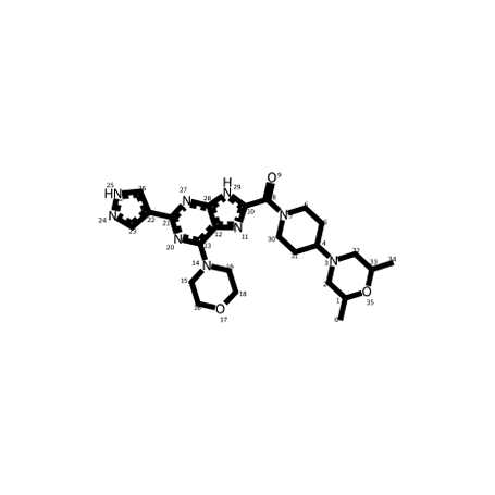 CC1CN(C2CCN(C(=O)c3nc4c(N5CCOCC5)nc(-c5cn[nH]c5)nc4[nH]3)CC2)CC(C)O1